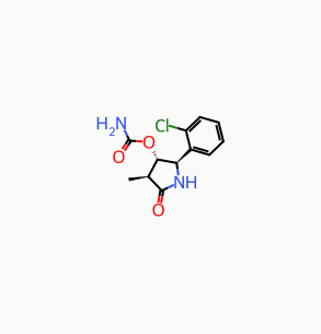 C[C@@H]1C(=O)N[C@H](c2ccccc2Cl)[C@H]1OC(N)=O